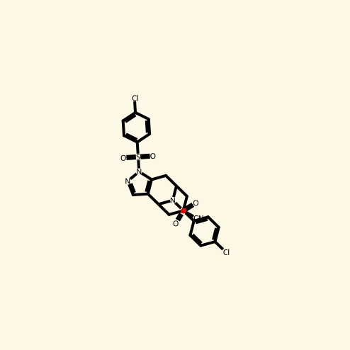 N#CC1CC2Cc3c(cnn3S(=O)(=O)c3ccc(Cl)cc3)C(C1)N2S(=O)(=O)c1ccc(Cl)cc1